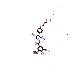 CCC[C@H]1CN(CC(=O)c2cc(C(C)(C)C)c(O)c(C(C)(C)C)c2)/C(=N\Cl)[C@@H]1c1ccc(OCCCO)cc1